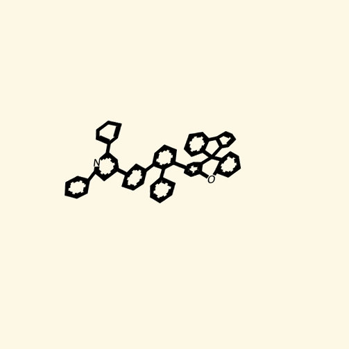 C1=CC2c3ccccc3C3(c4ccccc4Oc4ccc(-c5cccc(-c6cccc(-c7cc(C8=CCCC=C8)nc(-c8ccccc8)c7)c6)c5-c5ccccc5)cc43)C2C=C1